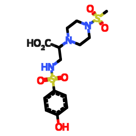 CS(=O)(=O)N1CCN(C(CNS(=O)(=O)c2ccc(O)cc2)C(=O)O)CC1